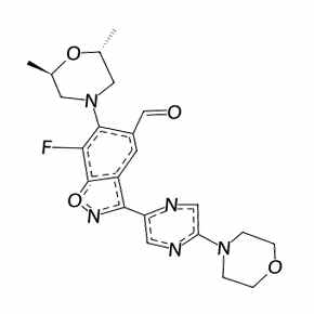 C[C@@H]1CN(c2c(C=O)cc3c(-c4cnc(N5CCOCC5)cn4)noc3c2F)C[C@@H](C)O1